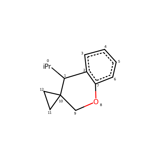 CC(C)C1c2ccccc2OCC12CC2